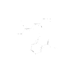 COC(=O)c1ccccc1O.OC[C@@H](O)[C@@H](O)[C@H](O)[C@H](O)CO